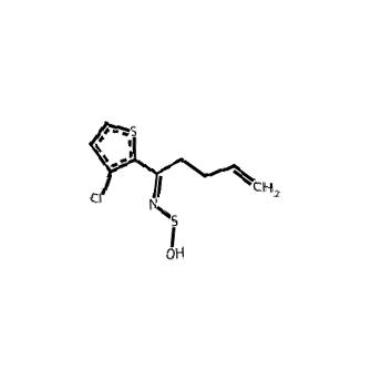 C=CCC/C(=N\SO)c1sccc1Cl